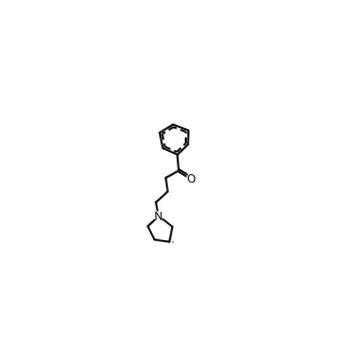 O=C(CCCN1C[CH]CC1)c1ccccc1